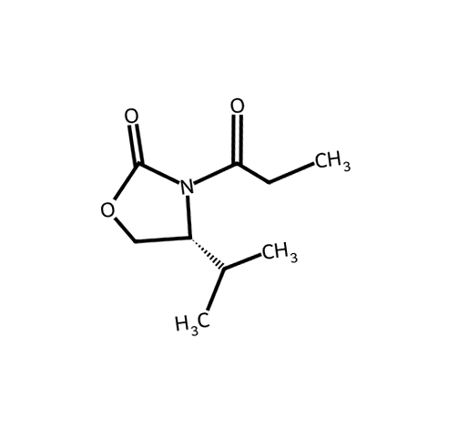 CCC(=O)N1C(=O)OC[C@H]1C(C)C